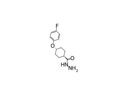 NNC(=O)[C@H]1CC[C@H](Oc2ccc(F)cc2)CC1